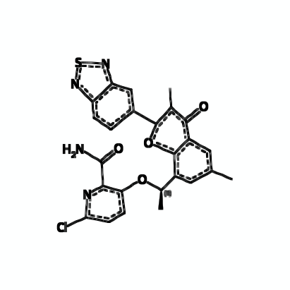 Cc1cc([C@@H](C)Oc2ccc(Cl)nc2C(N)=O)c2oc(-c3ccc4nsnc4c3)c(C)c(=O)c2c1